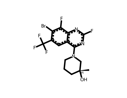 C[C@@]1(O)CCCN(c2nc(F)nc3c(F)c(Br)c(C(F)(F)F)cc23)C1